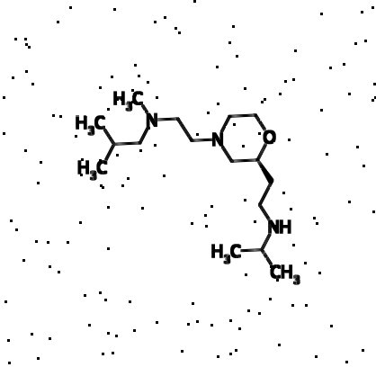 CC(C)CN(C)CCN1CCO[C@@H](CCNC(C)C)C1